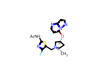 CC(=O)Nc1nc(F)c(CN2C[C@H](Oc3ccnc4ccnn34)C[C@@H]2C)s1